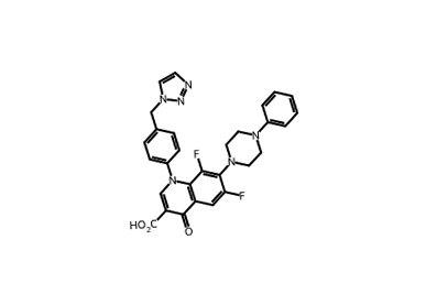 O=C(O)c1cn(-c2ccc(Cn3ccnn3)cc2)c2c(F)c(N3CCN(c4ccccc4)CC3)c(F)cc2c1=O